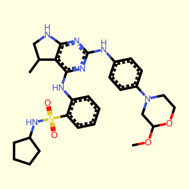 COC1CN(c2ccc(Nc3nc4c(c(Nc5ccccc5S(=O)(=O)NC5CCCC5)n3)C(C)CN4)cc2)CCO1